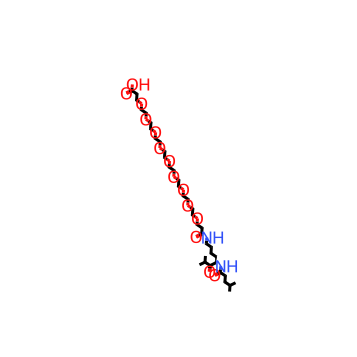 CC(C)CCC(=O)N[C@H](CCCCNC(=O)CCOCCOCCOCCOCCOCCOCCOCCOCCOCCC(=O)O)C(=O)C(C)C